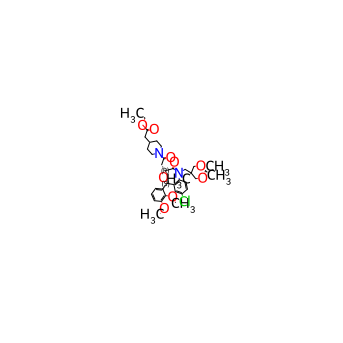 CCOC(=O)CC1CCN(C(=O)C[C@H]2O[C@H](c3cccc(OC)c3OC)c3cc(Cl)ccc3N(CC3(C)COC(C)(C)OC3)C2=O)CC1